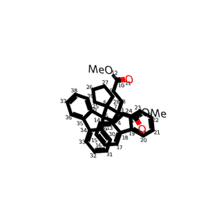 COC(=O)CCC1(C2(C3(CCC(=O)OC)c4ccccc4-c4ccccc43)CCCC2)c2ccccc2-c2ccccc21